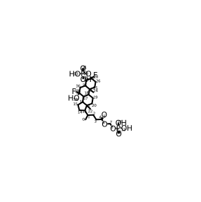 CC(CCC(=O)OCOP(=O)(O)O)C1CCC2C3C(CCC12C)C1(C)CCC(F)(OP(=O)(O)O)CC1CC3(O)F